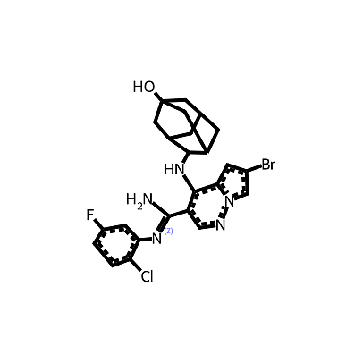 N/C(=N\c1cc(F)ccc1Cl)c1cnn2cc(Br)cc2c1NC1C2CC3CC1CC(O)(C3)C2